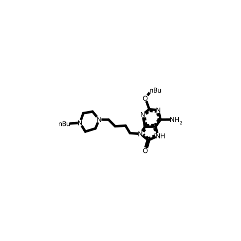 CCCCOc1nc(N)c2[nH]c(=O)n(CCCCN3CCN(CCCC)CC3)c2n1